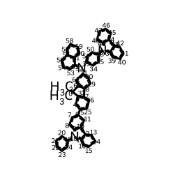 CC1(C)c2cc(-c3ccc4c(c3)c3ccccc3n4-c3ccccc3)ccc2-c2ccc(N(c3ccc(-n4c5ccccc5c5ccccc54)cc3)c3cccc4ccccc34)cc21